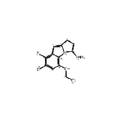 CC(=O)NC1CCc2cc3c(Cl)c(Cl)cc(OCC#N)c3n21